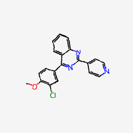 COc1ccc(-c2nc(-c3ccncc3)nc3ccccc23)cc1Cl